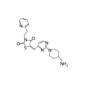 NCC1CCN(c2nccc(/C=C3/SC(=O)N(CCc4ccccn4)C3=O)n2)CC1